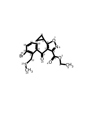 CCOC(=O)c1noc(C2CC2)c1C(=O)c1cccc(Br)c1CSC